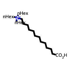 CCCCCC[N+](CCCCCC)(CCCCCC)CCCCCCCCCCCCC(=O)O